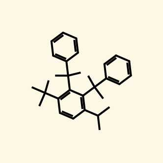 CC(C)c1ccc(C(C)(C)C)c(C(C)(C)c2ccccc2)c1C(C)(C)c1ccccc1